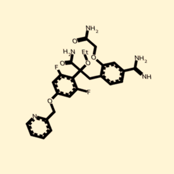 CCOC(Cc1ccc(C(=N)N)cc1OCC(N)=O)(C(N)=O)c1c(F)cc(OCc2ccccn2)cc1F